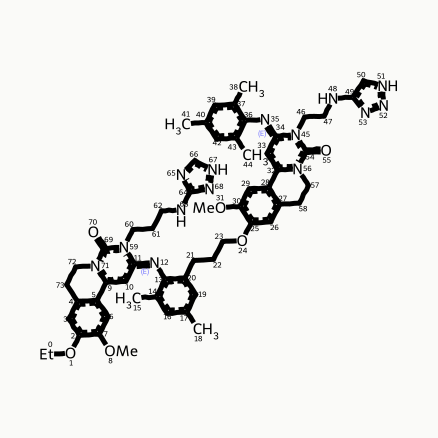 CCOc1cc2c(cc1OC)-c1c/c(=N\c3c(C)cc(C)cc3CCCOc3cc4c(cc3OC)-c3c/c(=N\c5c(C)cc(C)cc5C)n(CCNc5c[nH]nn5)c(=O)n3CC4)n(CCCNc3nc[nH]n3)c(=O)n1CC2